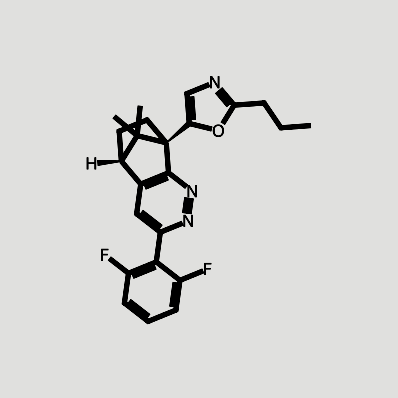 CCCc1ncc([C@@]23CC[C@@H](c4cc(-c5c(F)cccc5F)nnc42)C3(C)C)o1